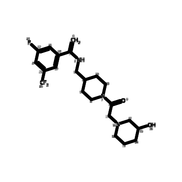 C=C(NCC1CCN(C(=O)CN2CCCC(O)C2)CC1)c1cc(F)cc(C(F)(F)F)c1